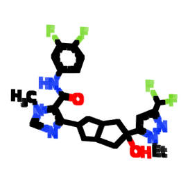 CCn1nc(C(F)F)cc1C1(O)CC2CC(c3ncn(C)c3C(=O)Nc3ccc(F)c(F)c3)CC2C1